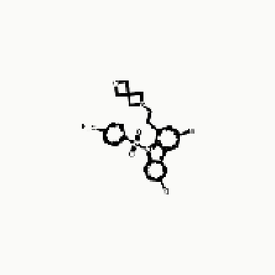 Cc1ccc(S(=O)(=O)n2c3ccc(Cl)cc3c3cc(Br)cc(CCN4CC5(COC5)C4)c32)cc1